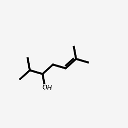 CC(C)=CCC(O)C(C)C